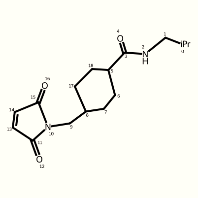 CC(C)CNC(=O)C1CCC(CN2C(=O)C=CC2=O)CC1